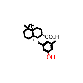 Cc1cc(O)cc(C[C@H]2[C@@H](C(=O)O)CC[C@H]3C(C)(C)CCC[C@]23C)c1